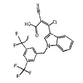 N#CC(C(=O)O)=C(Cl)c1cn(Cc2cc(C(F)(F)F)cc(C(F)(F)F)c2)c2ccccc12